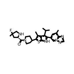 Cc1c(C2CCN(C(=O)[C@H]3CC(C)(F)CN3)CC2)sc2[nH]c(-c3cc(C)c4ncnn4c3)c(C(C)C)c12